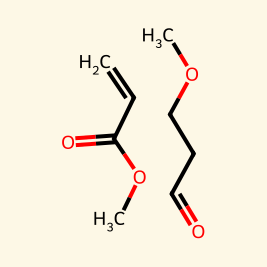 C=CC(=O)OC.COCCC=O